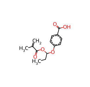 C=C(C)C(=O)OC(CC)Oc1ccc(C(=O)O)cc1